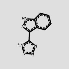 c1ccc2c(-c3nnn[nH]3)n[nH]c2c1